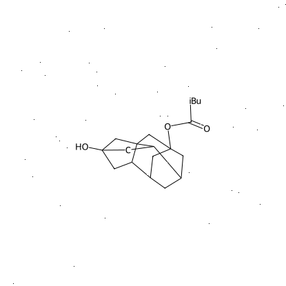 CCC(C)C(=O)OC12CC3CC(C1)C1CC4(O)CC3C1(C4)C2